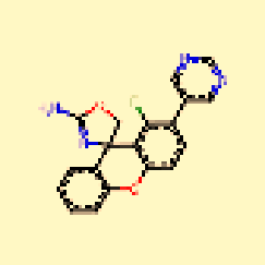 NC1=NC2(CO1)c1ccccc1Oc1ccc(-c3cncnc3)c(F)c12